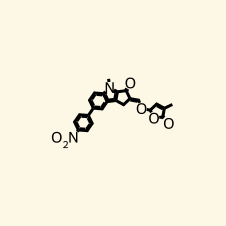 CC1=CC(O/C=C2\Cc3c(n(C)c4ccc(-c5ccc([N+](=O)[O-])cc5)cc34)C2=O)OC1=O